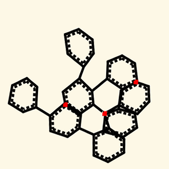 c1ccc(-c2ccc(-c3ccccc3N(c3ccccc3)c3cccc(-c4ccccc4)c3-c3ccccc3-c3ccccc3)cc2)cc1